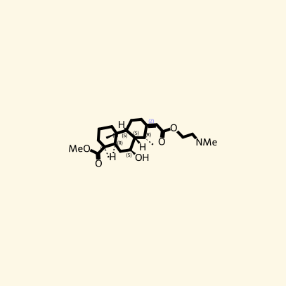 CNCCOC(=O)/C=C1/CC[C@H]2[C@@H]([C@@H](O)C[C@@H]3[C@]2(C)CCC[C@]3(C)C(=O)OC)[C@H]1C